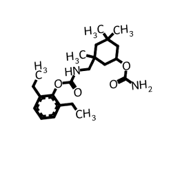 CCc1cccc(CC)c1OC(=O)NCC1(C)CC(OC(N)=O)CC(C)(C)C1